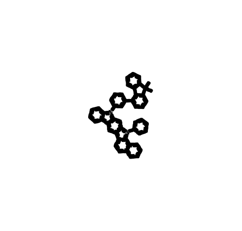 CC1(C)c2ccccc2-c2c(-c3cccc(-n4c5ccccc5c5cc6c7ccc8ccccc8c7n(-c7ccccc7)c6cc54)c3)cccc21